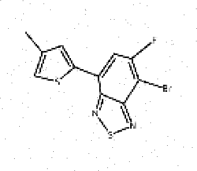 Cc1csc(-c2cc(F)c(Br)c3nsnc23)c1